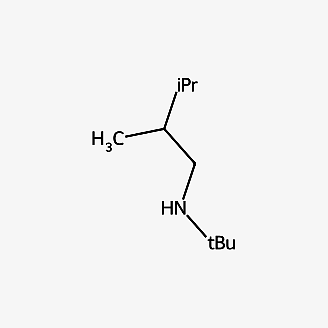 CC(C)C(C)CNC(C)(C)C